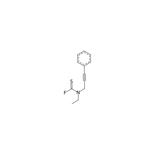 CCN(CC#Cc1ccccc1)C(F)=S